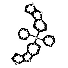 c1ccc([Si](c2ccccc2)(c2ccc3oc4occc4c3c2)c2ccc3oc4occc4c3c2)cc1